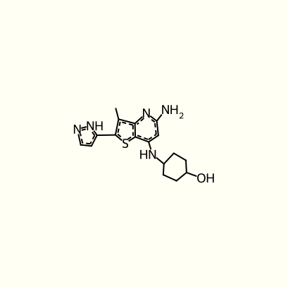 Cc1c(-c2ccn[nH]2)sc2c(NC3CCC(O)CC3)cc(N)nc12